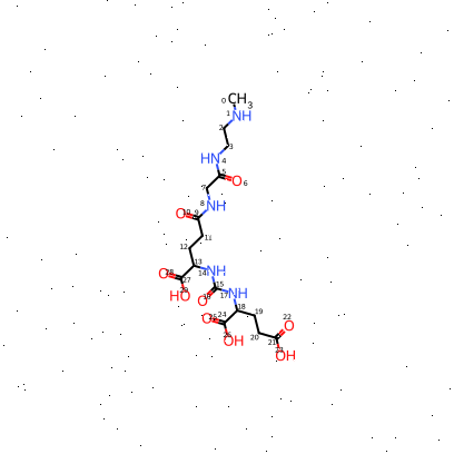 CNCCNC(=O)CNC(=O)CCC(NC(=O)NC(CCC(=O)O)C(=O)O)C(=O)O